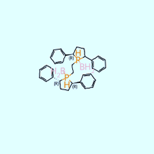 B[PH]1(CC[PH]2(B)[C@@H](c3ccccc3)CC[C@@H]2c2ccccc2)C(c2ccccc2)CC[C@@H]1c1ccccc1